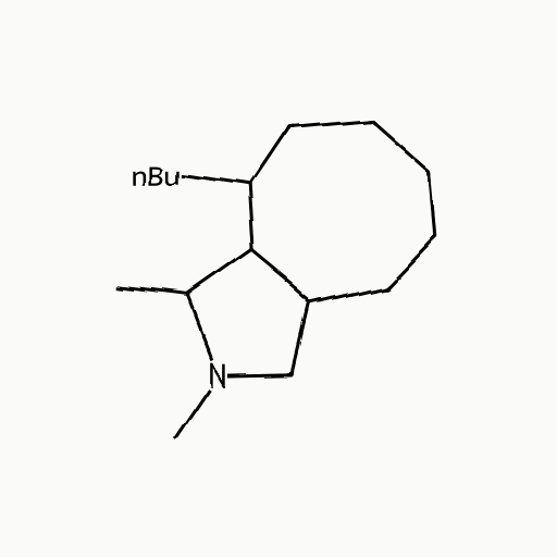 CCCCC1CCCCCC2CN(C)C(C)C12